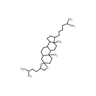 CC(C)CCCCC1CCC2C3CCC4CC5(CCC4(C)C3CCC12C)OCC(CCN(C)C)O5